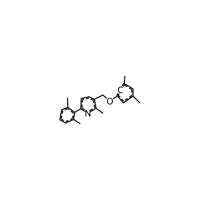 Cc1cc(C)cc(OCc2ccc(-c3c(C)cccc3C)nc2C)c1